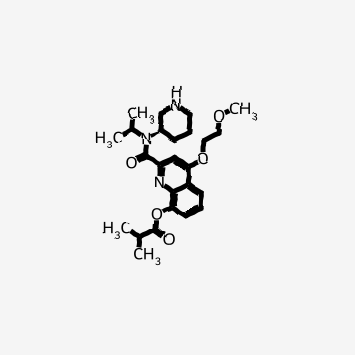 COCCOc1cc(C(=O)N(C(C)C)[C@@H]2CCCNC2)nc2c(OC(=O)C(C)C)cccc12